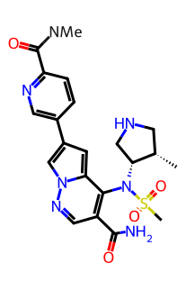 CNC(=O)c1ccc(-c2cc3c(N([C@@H]4CNC[C@@H]4C)S(C)(=O)=O)c(C(N)=O)cnn3c2)cn1